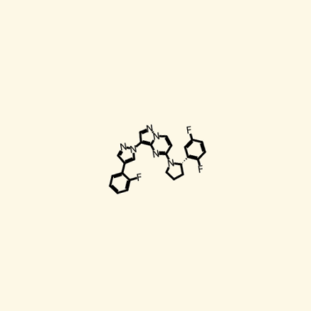 Fc1ccc(F)c([C@@H]2CCCN2c2ccn3ncc(-n4cc(-c5ccccc5F)cn4)c3n2)c1